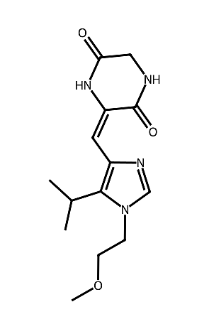 COCCn1cnc(C=C2NC(=O)CNC2=O)c1C(C)C